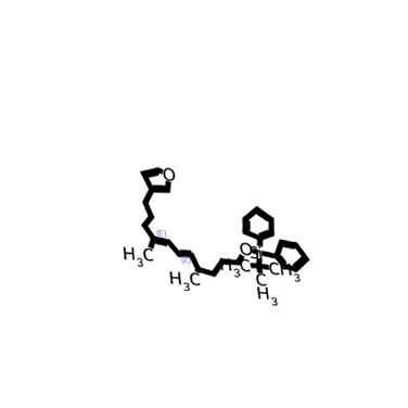 C/C(=C\C=C\C(C)CCCO[Si](c1ccccc1)(c1ccccc1)C(C)(C)C)CCCc1ccoc1